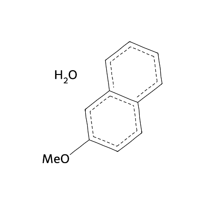 COc1ccc2ccccc2c1.O